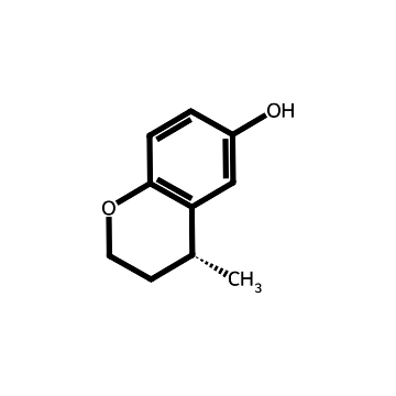 C[C@@H]1CCOc2ccc(O)cc21